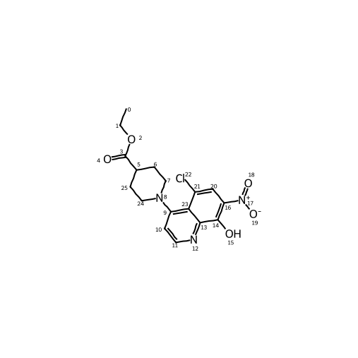 CCOC(=O)C1CCN(c2ccnc3c(O)c([N+](=O)[O-])cc(Cl)c23)CC1